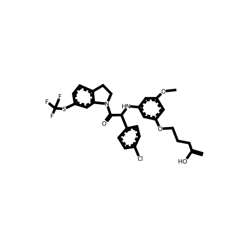 C=C(O)CCCOc1cc(NC(C(=O)N2CCc3ccc(SC(F)(F)F)cc32)c2ccc(Cl)cc2)cc(OC)c1